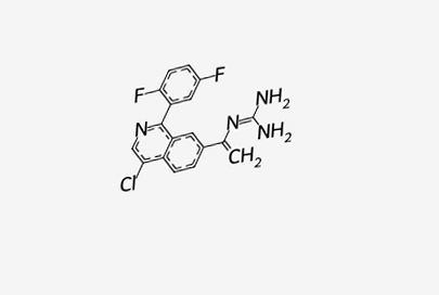 C=C(N=C(N)N)c1ccc2c(Cl)cnc(-c3cc(F)ccc3F)c2c1